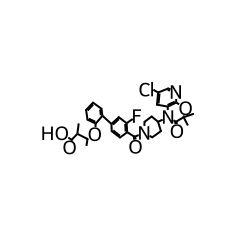 CC(Oc1ccccc1-c1ccc(C(=O)N2CCC(N3C(=O)C(C)(C)Oc4ncc(Cl)cc43)CC2)c(F)c1)C(C)C(=O)O